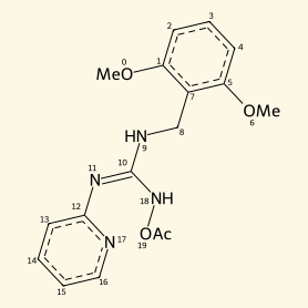 COc1cccc(OC)c1CNC(=Nc1ccccn1)NOC(C)=O